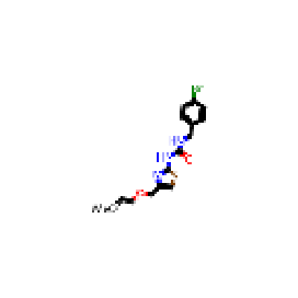 COCCOCc1csc(NC(=O)NCc2ccc(Br)cc2)n1